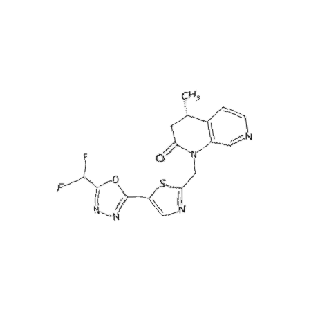 C[C@H]1CC(=O)N(Cc2ncc(-c3nnc(C(F)F)o3)s2)c2cnccc21